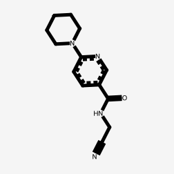 N#CCNC(=O)c1ccc(N2CC[CH]CC2)nc1